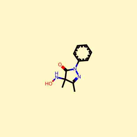 CC1=NN(c2ccccc2)C(=O)C1(C)NO